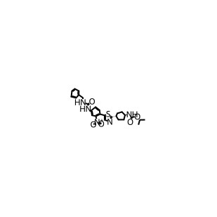 CC(C)OC(=O)N[C@H]1CC[C@H](c2ncc(-c3ccc(NC(=O)NCc4ccccc4)cc3[N+](=O)[O-])s2)CC1